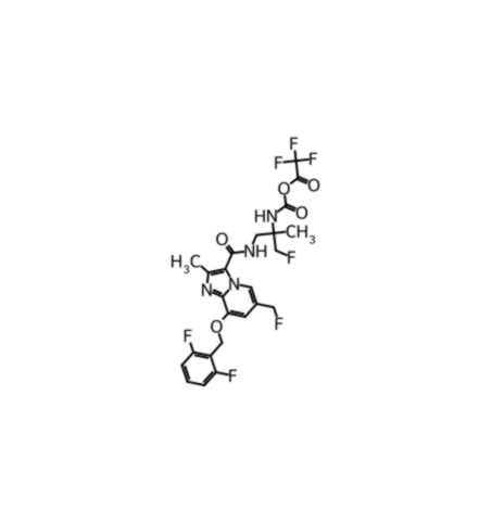 Cc1nc2c(OCc3c(F)cccc3F)cc(CF)cn2c1C(=O)NCC(C)(CF)NC(=O)OC(=O)C(F)(F)F